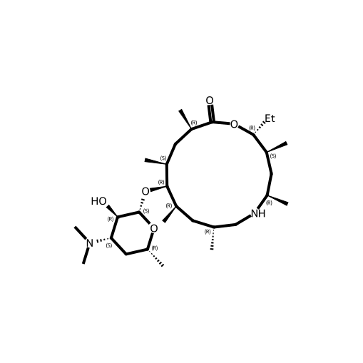 CC[C@H]1OC(=O)[C@H](C)C[C@H](C)[C@H](O[C@@H]2O[C@H](C)C[C@H](N(C)C)[C@H]2O)[C@H](C)C[C@@H](C)CN[C@H](C)C[C@@H]1C